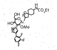 CCOC(=O)NC1CCC2(CC1)CC(C[C@H]1O[C@H](CO)[C@H](O)[C@H](n3cc(-c4ccc(F)c(F)c4F)nn3)[C@H]1OC)=NO2